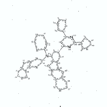 c1ccc(-c2cc(-c3cc(N(c4ccccc4)c4ccc5c(c4)sc4ccccc45)c4oc5cc6ccccc6cc5c4c3)nc(-c3ccccc3)n2)cc1